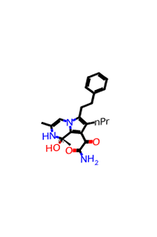 CCCc1c(C(=O)C(N)=O)c2n(c1CCc1ccccc1)C=C(C)N[C@@]2(C)O